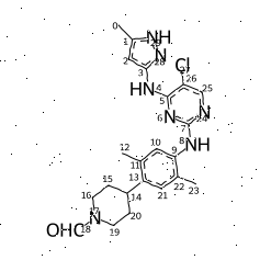 Cc1cc(Nc2nc(Nc3cc(C)c(C4CCN(C=O)CC4)cc3C)ncc2Cl)n[nH]1